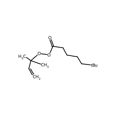 C=CC(C)(C)OOC(=O)CCCCC(C)(C)C